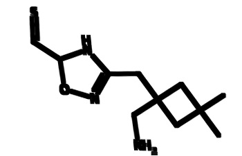 CC1(C)CC(CN)(CC2=NOC(C=S)N2)C1